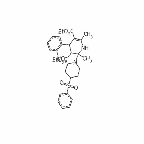 CCOC(=O)C1=C(C)NC(C)(N2CCC(S(=O)(=O)c3ccccc3)CC2)C(C(=O)OCC)C1c1ccccc1[N+](=O)[O-]